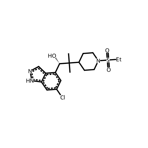 CCS(=O)(=O)N1CCC(C(C)(C)[C@@H](O)c2cc(Cl)cc3[nH]ncc23)CC1